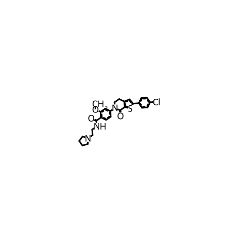 COc1cc(N2CCc3cc(-c4ccc(Cl)cc4)sc3C2=O)ccc1C(=O)NCCN1CCCC1